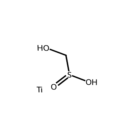 O=S(O)CO.[Ti]